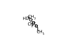 CCCCc1ccc(-c2ccc(C3CCC(C(C)O)CC3)c(Cl)c2F)cc1